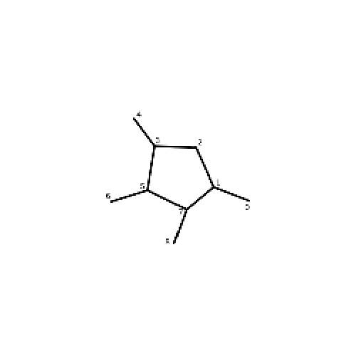 CC1CC(C)C(C)C1C